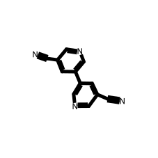 N#Cc1cncc(-c2cncc(C#N)c2)c1